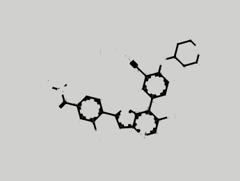 Cc1cnc2cc(-c3ccc(C(=O)N(C)C)cc3F)oc2c1-c1ccc(OC2CCOCC2)c(C#N)c1.Cl